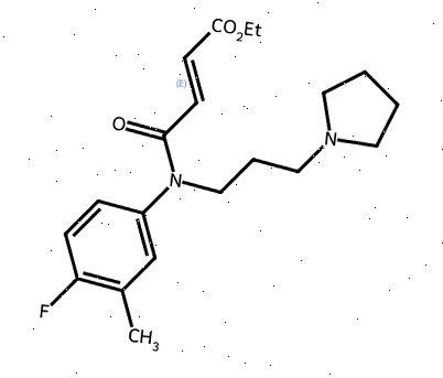 CCOC(=O)/C=C/C(=O)N(CCCN1CCCC1)c1ccc(F)c(C)c1